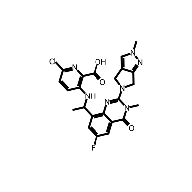 CC(Nc1ccc(Cl)nc1C(=O)O)c1cc(F)cc2c(=O)n(C)c(N3Cc4cn(C)nc4C3)nc12